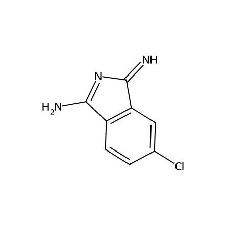 N=C1N=C(N)c2ccc(Cl)cc21